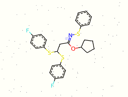 Fc1ccc(SC(C/C(=N/Sc2ccccc2)OC2CCCC2)Sc2ccc(F)cc2)cc1